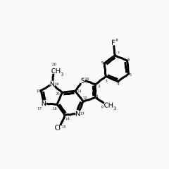 Cc1c(-c2cccc(F)c2)sc2c1nc(Cl)c1ncn(C)c12